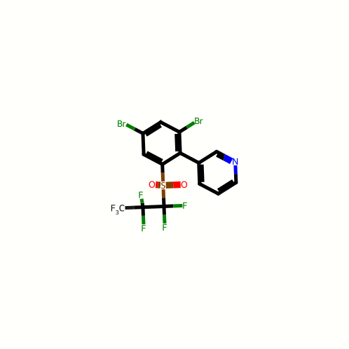 O=S(=O)(c1cc(Br)[c]c(Br)c1-c1cccnc1)C(F)(F)C(F)(F)C(F)(F)F